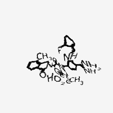 CC(=O)O.CCOC(C(=O)NCc1ccc(C(=N)N)cc1NCc1ccccc1F)N1Cc2c(C)cccc2C1=O